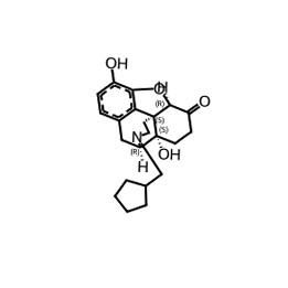 O=C1CC[C@@]2(O)[C@H]3Cc4ccc(O)c5c4[C@@]2(CCN3CC2CCCC2)[C@H]1O5